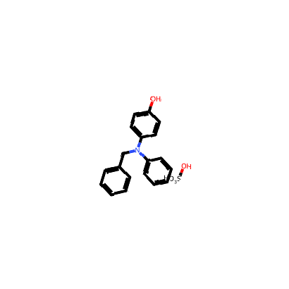 O=S(=O)(O)O.Oc1ccc(N(Cc2ccccc2)c2ccccc2)cc1